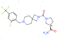 NC(=O)[C@@H]1CCN(C(=O)N2CC3(CCN(Cc4ccc(C(F)(F)F)cc4F)CC3)C2)C1